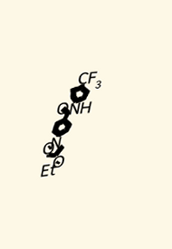 CCOC1=CN(c2ccc(C(=O)Nc3ccc(C(F)(F)F)cc3)cc2)OC1